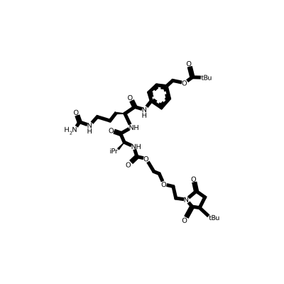 CC(C)[C@H](NC(=O)OCCOCCN1C(=O)CC(C(C)(C)C)C1=O)C(=O)N[C@@H](CCCNC(N)=O)C(=O)Nc1ccc(COC(=O)C(C)(C)C)cc1